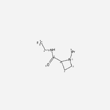 CC(C)N1CCC1C(=O)NCC(F)(F)F